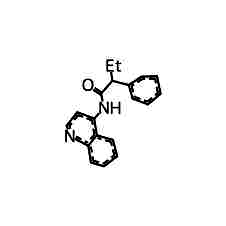 CCC(C(=O)Nc1ccnc2ccccc12)c1ccccc1